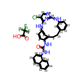 O=C(Nc1ccc2cc1CCc1cccc(c1)Nc1ncc(Cl)c(n1)N2)Nc1cccc2ccccc12.O=C(O)C(F)(F)F